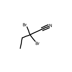 CCC(Br)(Br)C#N